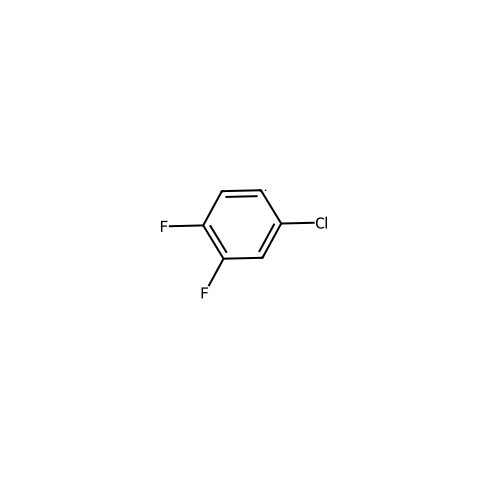 Fc1c[c]c(Cl)cc1F